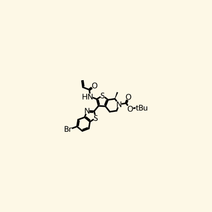 C=CC(=O)Nc1sc2c(c1-c1nc3cc(Br)ccc3s1)CCN(C(=O)OC(C)(C)C)[C@@H]2C